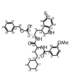 COc1cccc(C(=O)NC(CCC2CCCCC2)C(=O)N[C@H](CC(=O)OCc2ccccc2)CC2CNc3ccc(F)cc32)c1